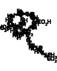 CCc1c2c(CC)c3c(CC)c1CNC(=O)Nc1ccc(C(=O)O)cc1NC(=O)C1(NCc4c(C)c(c(OCCOCCn5cc(CCC(=O)NCCCC[C@H](C)C(=O)O)nn5)c5c4C(C)(C5)NC(=O)Nc4cc(C(=O)O)ccc41)CNC(=O)Nc1cc(C(=O)O)ccc1NC(=O)NC2)NC(=O)NC3